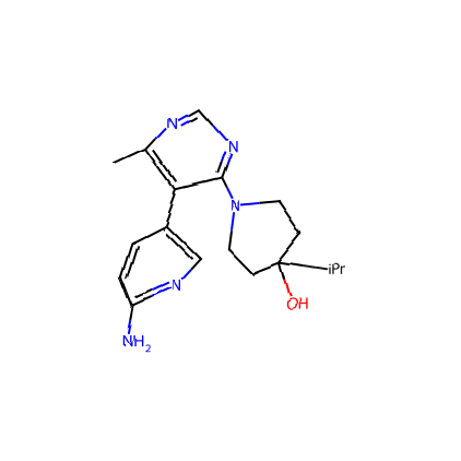 Cc1ncnc(N2CCC(O)(C(C)C)CC2)c1-c1ccc(N)nc1